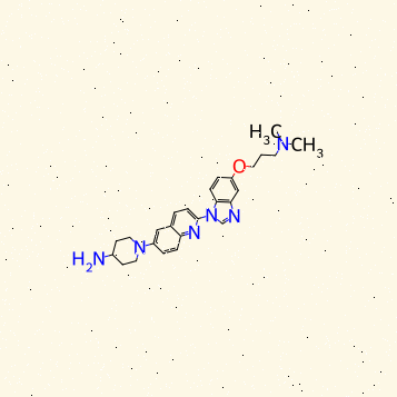 CN(C)CCCOc1ccc2c(c1)ncn2-c1ccc2cc(N3CCC(N)CC3)ccc2n1